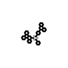 c1ccc(-c2nc(-c3ccc(-c4cc5ccccc5c5ccccc45)cc3)nc(-c3cc4c5ccccc5c5ccccc5c4c4ccccc34)n2)cc1